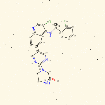 C[C@@H](Nc1c(Cl)cnc2ccc(-c3cnc(N4CCNC(=O)C4)nc3)cc12)c1ccccc1F